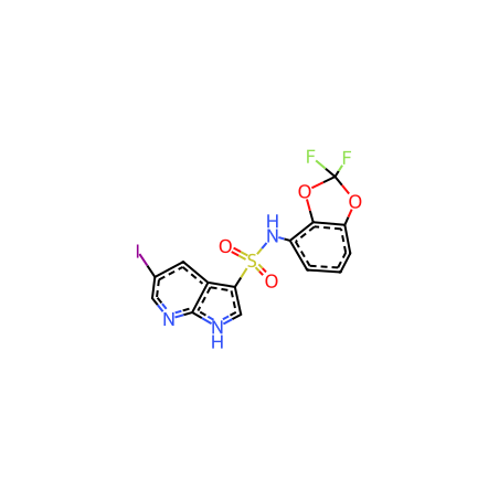 O=S(=O)(Nc1cccc2c1OC(F)(F)O2)c1c[nH]c2ncc(I)cc12